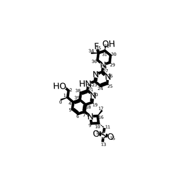 C[C@@H](CO)c1ccc(N2C[C@@H](CS(C)(=O)=O)[C@@H]2C)c2cnc(Nc3ccnc(N4CC[C@@H](O)[C@@](C)(F)C4)n3)cc12